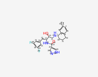 CCc1ccc2c(c1)[C@@H](NC[C@H](O)[C@H](Cc1cc(F)cc(F)c1)NC(=O)c1cn[nH]c1)CCC2